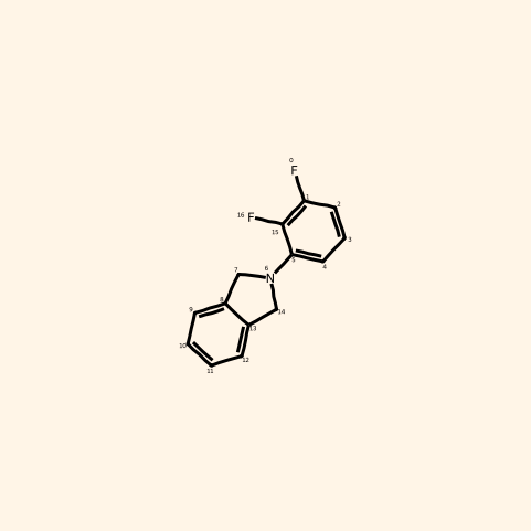 Fc1cccc(N2Cc3ccccc3C2)c1F